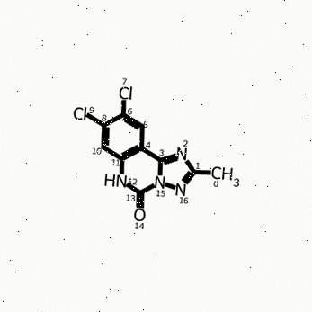 Cc1nc2c3cc(Cl)c(Cl)cc3[nH]c(=O)n2n1